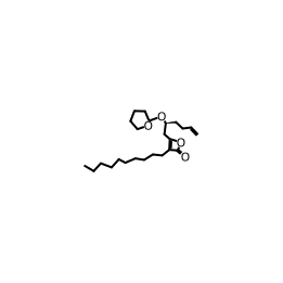 C=CCC[C@@H](CC1=C(CCCCCCCCCC)C(=O)O1)OC1CCCCO1